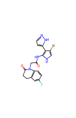 O=C(CN1C(=O)CCc2cc(F)ccc21)Nc1[nH]cc(Br)c1-c1ccn[nH]1